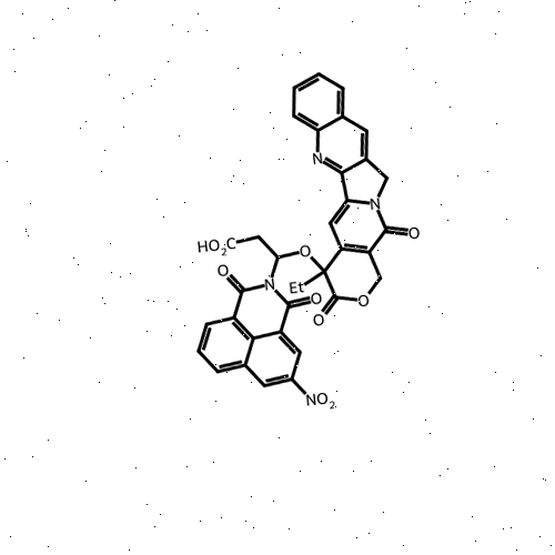 CCC1(OC(CC(=O)O)N2C(=O)c3cccc4cc([N+](=O)[O-])cc(c34)C2=O)C(=O)OCc2c1cc1n(c2=O)Cc2cc3ccccc3nc2-1